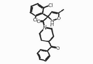 CC1=CC(C(=O)N2CCC(C(=O)c3ccccc3)CC2)(c2c(Cl)cccc2Cl)NO1